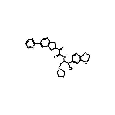 O=C(NC(CN1CCCC1)C(O)c1ccc2c(c1)OCCO2)C(=O)C1Cc2ccc(-c3ccccn3)cc2C1